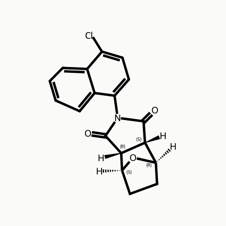 O=C1[C@@H]2[C@H](C(=O)N1c1ccc(Cl)c3ccccc13)[C@H]1CC[C@@H]2O1